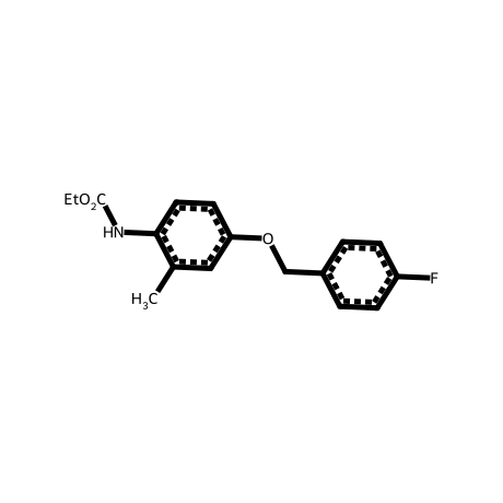 CCOC(=O)Nc1ccc(OCc2ccc(F)cc2)cc1C